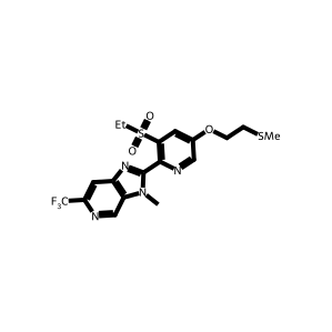 CCS(=O)(=O)c1cc(OCCSC)cnc1-c1nc2cc(C(F)(F)F)ncc2n1C